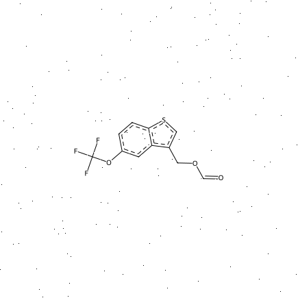 O=[C]OCc1csc2ccc(OC(F)(F)F)cc12